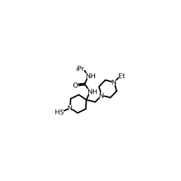 CCN1CCN(CC2(NC(=O)NC(C)C)CCN(S)CC2)CC1